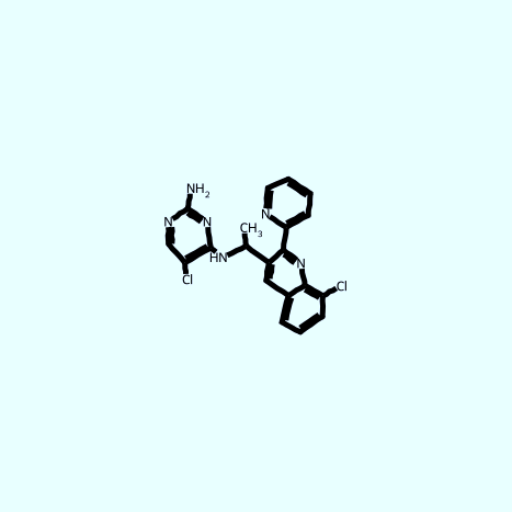 CC(Nc1nc(N)ncc1Cl)c1cc2cccc(Cl)c2nc1-c1ccccn1